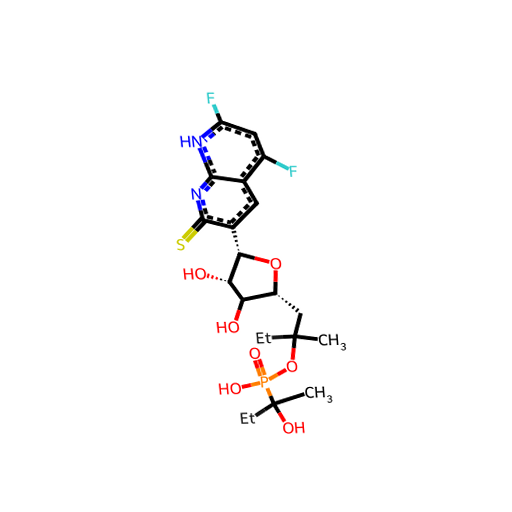 CCC(C)(C[C@H]1O[C@@H](c2cc3c(F)cc(F)[nH]c-3nc2=S)[C@@H](O)C1O)OP(=O)(O)C(C)(O)CC